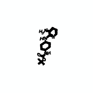 CC(C)(C)OC(=O)N[C@H]1CC[C@H](Nc2ncccc2N)CC1